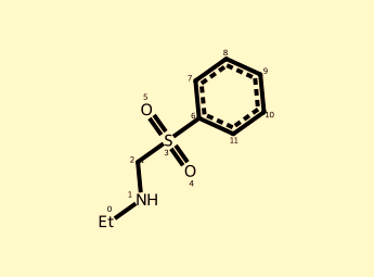 CCN[CH]S(=O)(=O)c1ccccc1